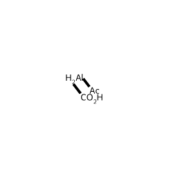 CC(=O)O.C[C](=O)[AlH2]